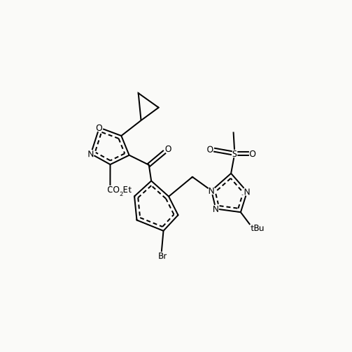 CCOC(=O)c1noc(C2CC2)c1C(=O)c1ccc(Br)cc1Cn1nc(C(C)(C)C)nc1S(C)(=O)=O